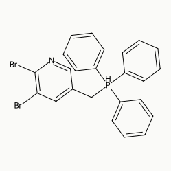 Brc1cc(C[PH](c2ccccc2)(c2ccccc2)c2ccccc2)cnc1Br